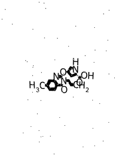 C=CCn1c(O[C@H]2CN[C@H](C(=O)O)C2)nc2cc(C)ccc2c1=O